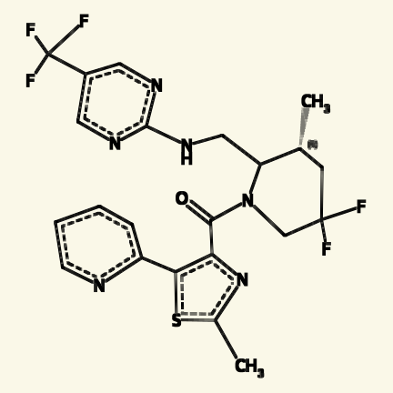 Cc1nc(C(=O)N2CC(F)(F)C[C@@H](C)C2CNc2ncc(C(F)(F)F)cn2)c(-c2ccccn2)s1